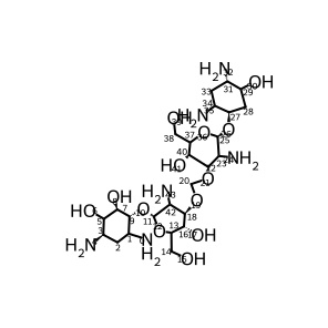 NC1C[C@@H](N)C(O)[C@@H](O)[C@@H]1O[C@H]1OC(CO)[C@@H](O)[C@H](OCO[C@H]2C(N)[C@H](O[C@@H]3CC(O)[C@@H](N)CC3N)OC(CO)[C@@H]2O)C1N